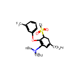 CCCCN(CCCC)C1=C(Oc2cccc(C(F)(F)F)c2)C(S(=O)(=O)CC)CC(C(=O)O)=C1